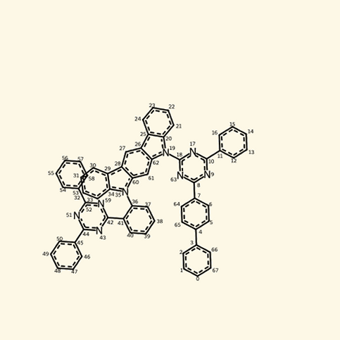 c1ccc(-c2ccc(-c3nc(-c4ccccc4)nc(-n4c5ccccc5c5cc6c7ccccc7n(-c7ccccc7-c7nc(-c8ccccc8)nc(-c8ccccc8)n7)c6cc54)n3)cc2)cc1